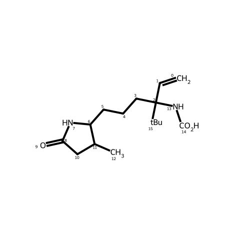 C=CC(CCCC1NC(=O)CC1C)(NC(=O)O)C(C)(C)C